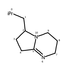 CC(C)CC1CCC2=NCCCN21